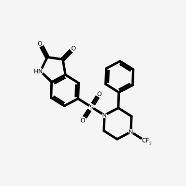 O=C1Nc2ccc(S(=O)(=O)N3CCN(C(F)(F)F)CC3c3ccccc3)cc2C1=O